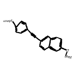 CCCCCCCc1ccc(C#Cc2ccc3cc(OCCCCC)ccc3c2)cc1